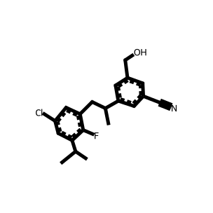 CC(C)c1cc(Cl)cc(CC(C)c2cc(C#N)cc(CO)c2)c1F